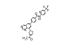 CC(=O)N1CCC(c2cc(-c3ccc(C(=O)Nc4ccc(C(F)(F)F)cn4)cc3)cc3cncnc23)C1